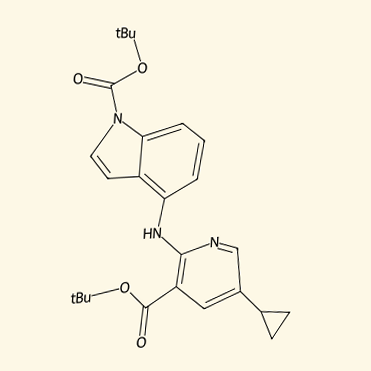 CC(C)(C)OC(=O)c1cc(C2CC2)cnc1Nc1cccc2c1ccn2C(=O)OC(C)(C)C